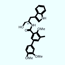 COc1ccc(-c2cc(C)c(OC)c(C(=O)N[C@@H](CO)Cc3c[nH]c4ccccc34)c2)cc1OC